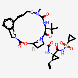 C=C[C@@H]1C[C@]1(NC(=O)[C@@H]1C[C@@H]2CN1C(=O)[C@H](C(C)(C)C)NC(=O)N(C)CC/C=C/c1cccc3c1CN(C3)C(=O)O2)C(=O)NS(=O)(=O)C1CC1